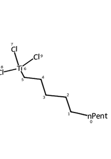 CCCCCCCCC[CH2][Ti]([Cl])([Cl])[Cl]